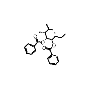 CC[C@@H](C)[C@@H](OC(=O)c1ccccc1)[C@H](OC(=O)c1ccccc1)[C@@H](C)C(C)C